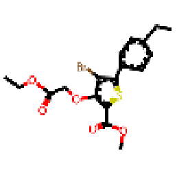 CCOC(=O)COc1c(C(=O)OC)sc(-c2ccc(CC)cc2)c1Br